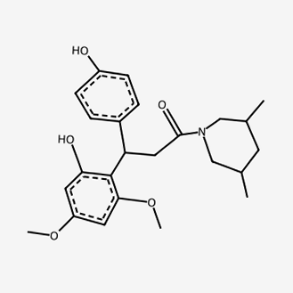 COc1cc(O)c(C(CC(=O)N2CC(C)CC(C)C2)c2ccc(O)cc2)c(OC)c1